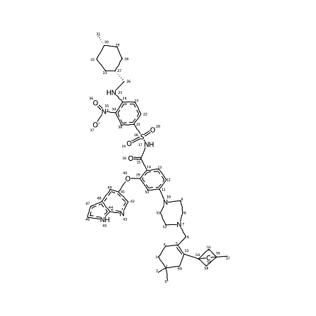 CC1(C)CCC(CN2CCN(c3ccc(C(=O)NS(=O)(=O)c4ccc(NC[C@H]5CC[C@@H](C)CC5)c([N+](=O)[O-])c4)c(Oc4cnc5[nH]ccc5c4)c3)CC2)=C(C23CC(C)(C2)C3)C1